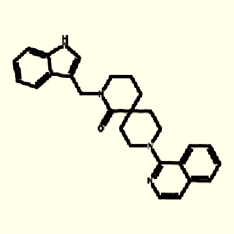 O=C1N(Cc2c[nH]c3ccccc23)CCCC12CCN(c1nccc3ccccc13)CC2